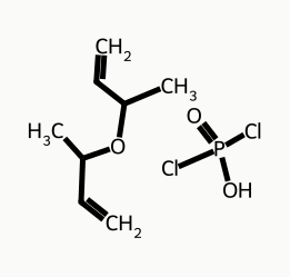 C=CC(C)OC(C)C=C.O=P(O)(Cl)Cl